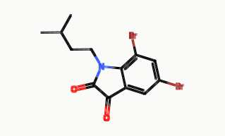 CC(C)CCN1C(=O)C(=O)c2cc(Br)cc(Br)c21